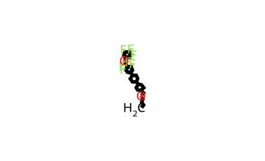 C=CCCOCC1CCC(C2CCC(c3cc(F)c(C(F)(F)Oc4cc(F)c(F)c(F)c4)c(F)c3)CC2)CC1